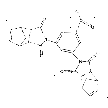 O=C(Cl)c1cc(N2C(=O)C3C4C=CC(C4)C3C2=O)cc(N2C(=O)C3C4C=CC(C4)C3C2=O)c1